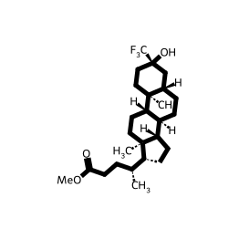 COC(=O)CC[C@@H](C)[C@H]1CC[C@H]2[C@@H]3CC[C@H]4C[C@](O)(C(F)(F)F)CC[C@]4(C)[C@H]3CC[C@]12C